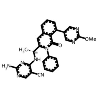 COc1ncc(-c2cccc3cc([C@@H](C)Nc4nc(N)ncc4C#N)n(-c4ccccc4)c(=O)c23)cn1